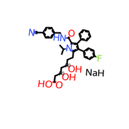 CC(C)n1c(CC[C@@H](O)C[C@@H](O)CC(=O)O)c(-c2ccc(F)cc2)c(-c2ccccc2)c1C(=O)NCc1ccc(C#N)cc1.[NaH]